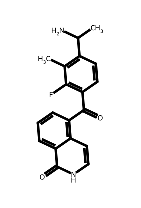 Cc1c(C(C)N)ccc(C(=O)c2cccc3c(=O)[nH]ccc23)c1F